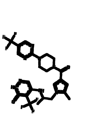 Cc1cc(C(=O)N2CCN(c3ncc(C(F)(F)F)cn3)CC2)cn1CC(C)Nc1cn[nH]c(=O)c1C(F)(F)F